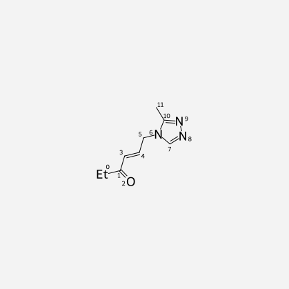 CCC(=O)/C=C/Cn1cnnc1C